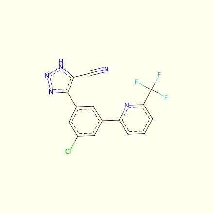 N#Cc1[nH]nnc1-c1cc(Cl)cc(-c2cccc(C(F)(F)F)n2)c1